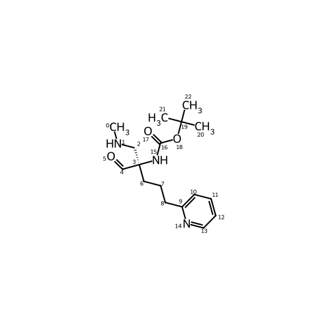 CNC[C@@](C=O)(CCCc1ccccn1)NC(=O)OC(C)(C)C